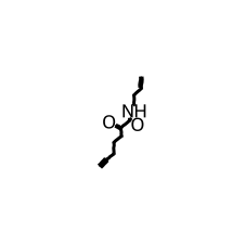 C#CCCCC(=O)C(=O)NCCC=C